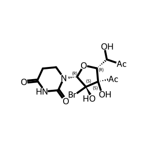 CC(=O)C(O)[C@H]1O[C@@H](N2CCC(=O)NC2=O)[C@@](O)(Br)[C@@]1(O)C(C)=O